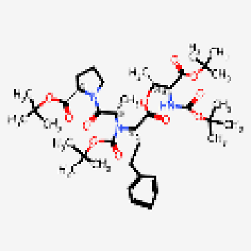 C[C@@H](OC(=O)[C@H](CCc1ccccc1)N(C(=O)OC(C)(C)C)[C@@H](C)C(=O)N1CCC[C@H]1C(=O)OC(C)(C)C)[C@H](NC(=O)OC(C)(C)C)C(=O)OC(C)(C)C